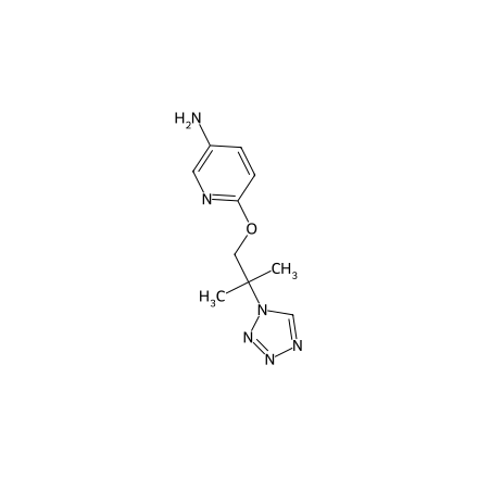 CC(C)(COc1ccc(N)cn1)n1cnnn1